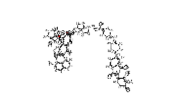 C#Cc1c(F)ccc2cccc(-c3ncc4c(N5C[C@H]6CC[C@@H](C5)N6C(=O)OC(C)(C)C)nc(OC[C@@]56CCCN5[C@H](COC(=O)N5CCC(CN7CCC(c8ccc9c(c8)C(=O)N(C8CCC(=O)NC8=O)C9=O)CC7)CC5)CC6)nc4c3F)c12